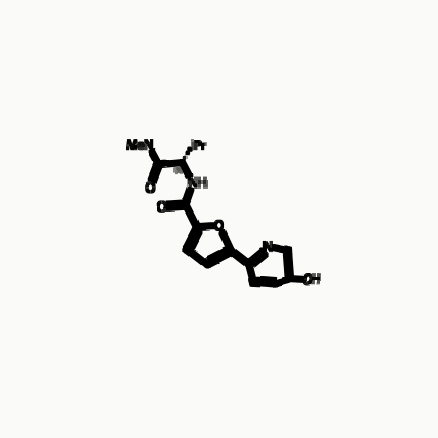 CNC(=O)[C@@H](NC(=O)c1ccc(-c2ccc(O)cn2)o1)C(C)C